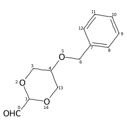 O=CC1OCC(OCc2ccccc2)CO1